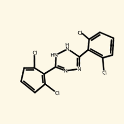 Clc1cccc(Cl)c1C1=NN=C(c2c(Cl)cccc2Cl)NN1